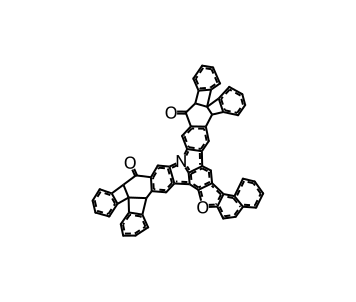 O=C1c2cc3c(cc2C2c4ccccc4C24c2ccccc2C14)c1cc2c(oc4ccc5ccccc5c42)c2c4cc5c(cc4n3c12)C(=O)C1c2ccccc2C12c1ccccc1C52